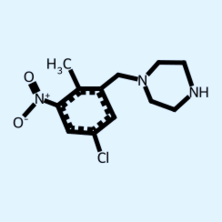 Cc1c(CN2CCNCC2)cc(Cl)cc1[N+](=O)[O-]